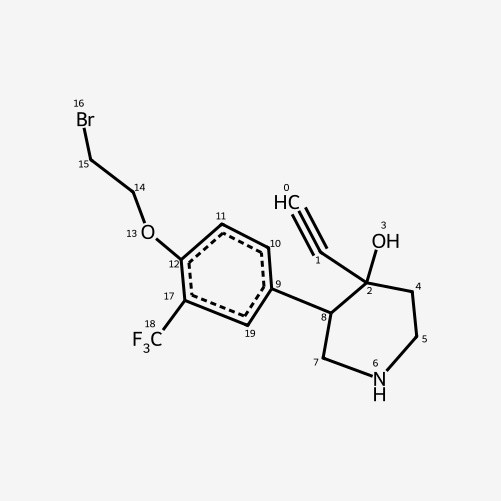 C#CC1(O)CCNCC1c1ccc(OCCBr)c(C(F)(F)F)c1